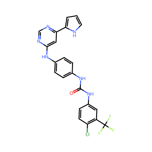 O=C(Nc1ccc(Nc2cc(-c3ccc[nH]3)ncn2)cc1)Nc1ccc(Cl)c(C(F)(F)F)c1